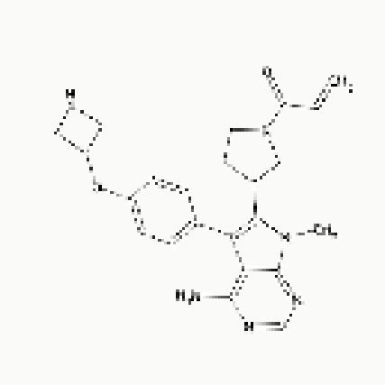 C=CC(=O)N1CCC(c2c(-c3ccc(OC4CNC4)cc3)c3c(N)ncnc3n2C)C1